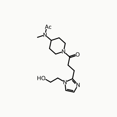 CC(=O)N(C)C1CCN(C(=O)CCc2nccn2CCO)CC1